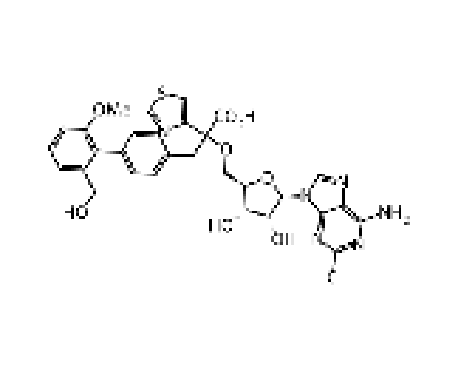 COc1cccc(CO)c1-c1ccc(CC(OC[C@H]2O[C@@H](n3cnc4c(N)nc(Cl)nc43)[C@H](O)[C@@H]2O)(C(=O)O)c2cscn2)cc1